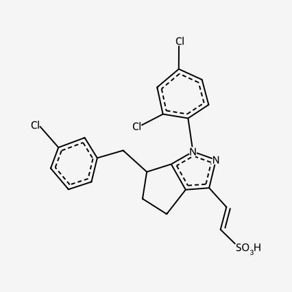 O=S(=O)(O)C=Cc1nn(-c2ccc(Cl)cc2Cl)c2c1CCC2Cc1cccc(Cl)c1